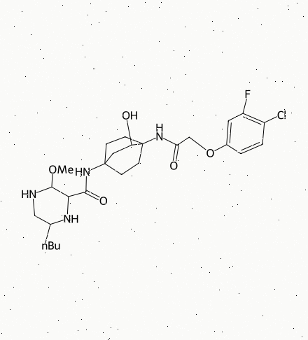 CCCCC1CNC(OC)C(C(=O)NC23CCC(NC(=O)COc4ccc(Cl)c(F)c4)(CC2)C(O)C3)N1